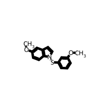 COc1cccc(Sn2ccc3cc(OC)ccc32)c1